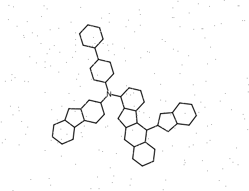 C1CCC(C2CCC(N(C3CCC4C(CC5CCCCC54)C3)C3CCCC4C3CC3CC5CCCCC5C(C5CC6CCCCC6C5)C34)CC2)CC1